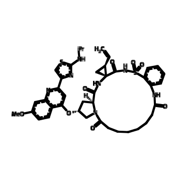 C=C[C@@H]1C[C@@]12NC(=O)[C@@H]1C[C@@H](Oc3cc(-c4csc(NC(C)C)n4)nc4cc(OC)ccc34)CN1C(=O)CCCCCCC(=O)Nc1ccccc1S(=O)(=O)NC2=O